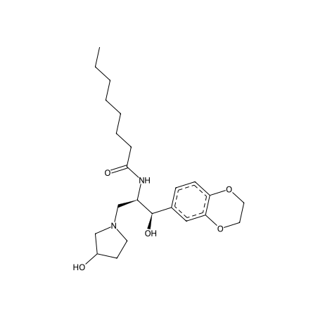 CCCCCCCC(=O)N[C@H](CN1CCC(O)C1)[C@H](O)c1ccc2c(c1)OCCO2